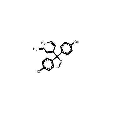 C=C/C=C(\C=C/C)C(OCCC)(c1ccc(O)cc1)c1ccc(O)cc1